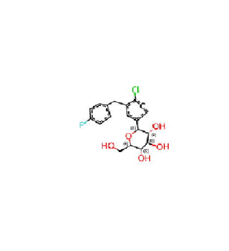 OC[C@H]1O[C@@H](c2ccc(Cl)c(Cc3ccc(F)cc3)c2)[C@H](O)[C@@H](O)[C@@H]1O